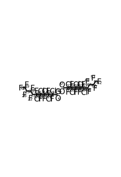 O=C(OOC(=O)C(F)(Cl)C(F)(Cl)C(F)(Cl)C(F)(Cl)C(F)(Cl)C(F)C(F)C(F)C(F)F)C(F)(Cl)C(F)(Cl)C(F)(Cl)C(F)(Cl)C(F)(Cl)C(F)C(F)C(F)C(F)F